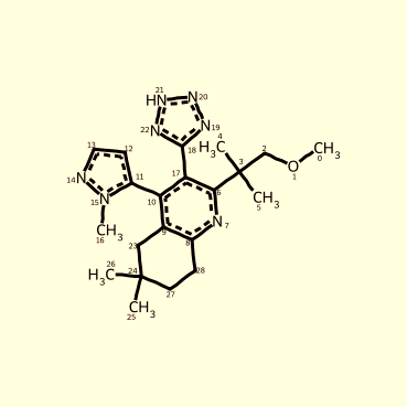 COCC(C)(C)c1nc2c(c(-c3ccnn3C)c1-c1nn[nH]n1)CC(C)(C)CC2